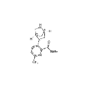 CNC(=O)c1nc(C)ccc1N1C[C@H]2C[C@@H]1CN2